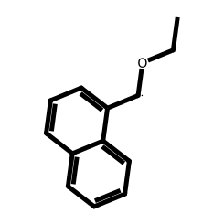 CCO[CH]c1cccc2ccccc12